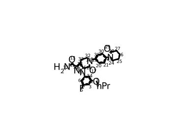 CCCOc1cc(F)cc(-n2nc(C(N)=O)c3c2C(=O)N(c2ccc(N4CCCCC4=O)cc2)CC3)c1